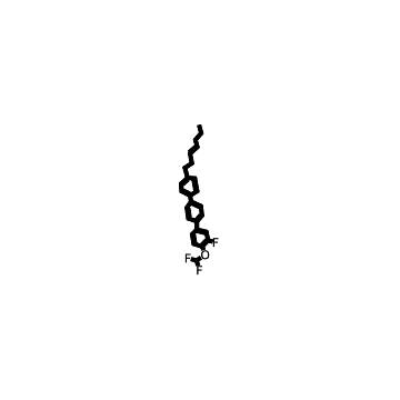 CCCC=CCCc1ccc(-c2ccc(-c3ccc(OC(F)F)c(F)c3)cc2)cc1